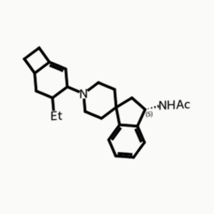 CCC1CC2CCC2=CC1N1CCC2(CC1)C[C@H](NC(C)=O)c1ccccc12